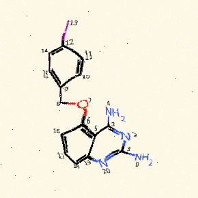 Nc1nc(N)c2c(OCc3ccc(I)cc3)cccc2n1